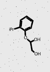 CC(C)c1ccccc1OC(O)CO